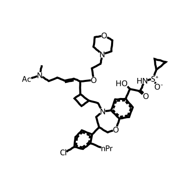 CCCc1cc(Cl)ccc1C1COc2ccc(C(O)C(=O)N[S+]([O-])C3CC3)cc2N(CC2CCC2C(/C=C/CCN(C)C(C)=O)OCCN2CCOCC2)C1